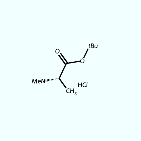 CN[C@@H](C)C(=O)OC(C)(C)C.Cl